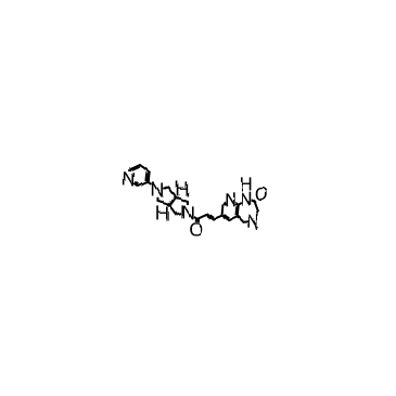 CN1CC(=O)Nc2ncc(/C=C/C(=O)N3C[C@@H]4CN(c5cccnc5)C[C@@H]4C3)cc2C1